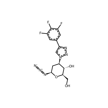 [N-]=[N+]=N[C@H]1C[C@@H](n2cc(-c3cc(F)c(F)c(F)c3)nn2)[C@H](O)[C@@H](CO)O1